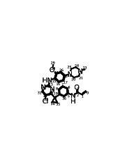 C=CC(=O)Nc1cccc(C2(c3nc(Nc4ccc(N5CCN(C)CC5)cc4OC)ncc3Cl)CC2)c1